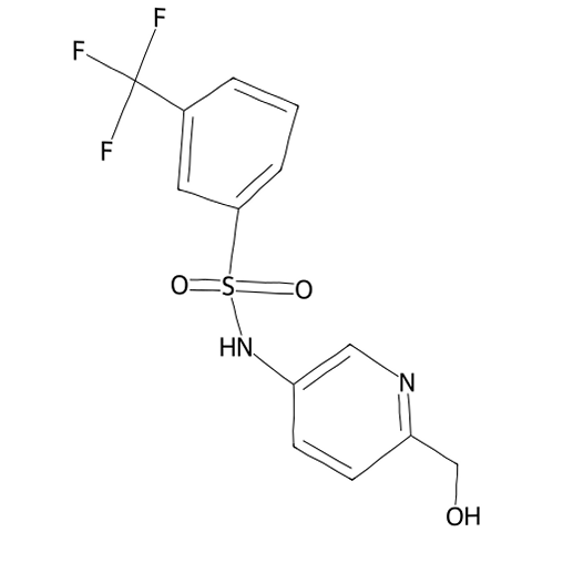 O=S(=O)(Nc1ccc(CO)nc1)c1cccc(C(F)(F)F)c1